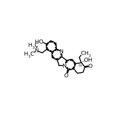 CC[C@@]1(O)C(=O)CCc2c1cc1n(c2=O)Cc2cc3c(CN(C)C)c(O)ccc3nc2-1